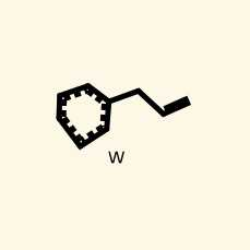 C=CCc1ccccc1.[W]